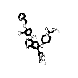 C=CC(=O)N1CCC(Oc2cc3c(Nc4ccc(OCc5ccccn5)c(Cl)c4)ncnc3cc2-c2cnn(C)c2)CC1